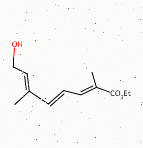 CCOC(=O)C(C)=CC=CC(C)=CCO